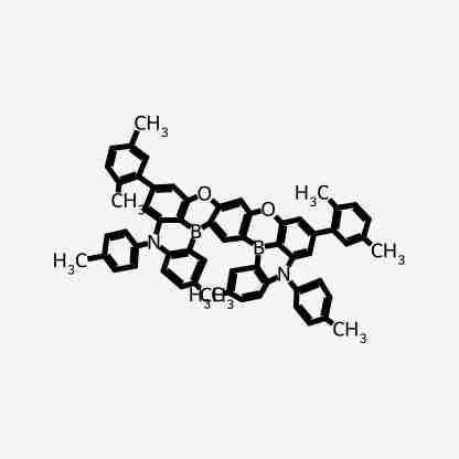 Cc1ccc(N2c3ccc(C)cc3B3c4cc5c(cc4Oc4cc(-c6cc(C)ccc6C)cc2c43)Oc2cc(-c3cc(C)ccc3C)cc3c2B5c2cc(C)ccc2N3c2ccc(C)cc2)cc1